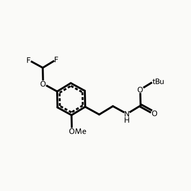 COc1cc(OC(F)F)ccc1CCNC(=O)OC(C)(C)C